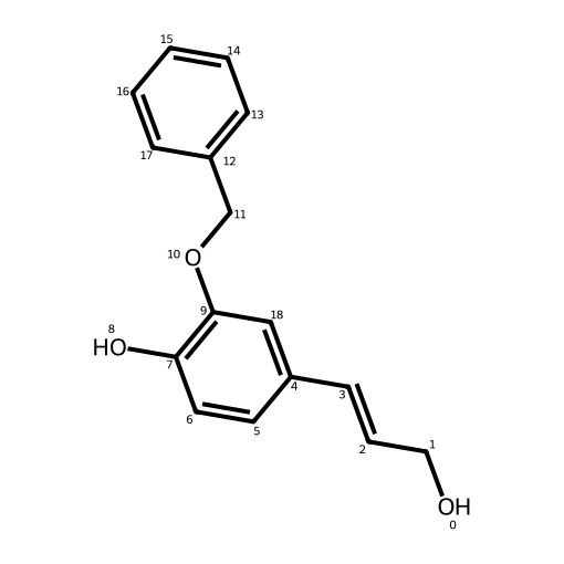 OC/C=C/c1ccc(O)c(OCc2ccccc2)c1